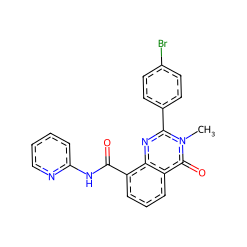 Cn1c(-c2ccc(Br)cc2)nc2c(C(=O)Nc3ccccn3)cccc2c1=O